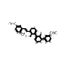 Cc1c(/C=C/c2cc(C=O)ccc2C(F)(F)F)cccc1-c1cccc(-c2cccc(C=O)c2)c1C